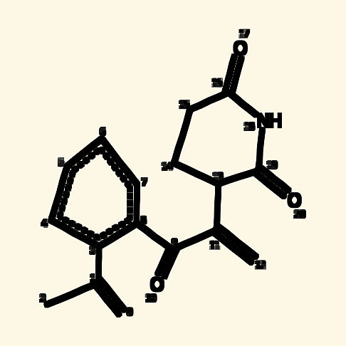 C=C(C)c1ccccc1C(=O)C(=C)C1CCC(=O)NC1=O